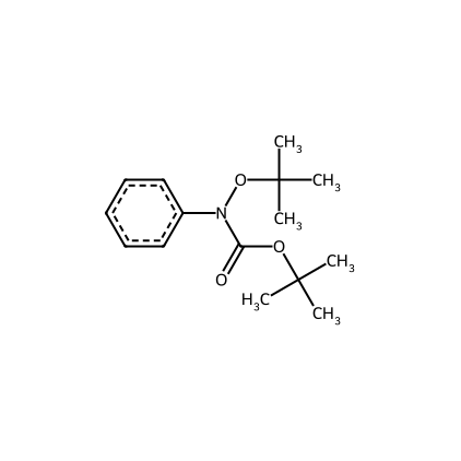 CC(C)(C)OC(=O)N(OC(C)(C)C)c1ccccc1